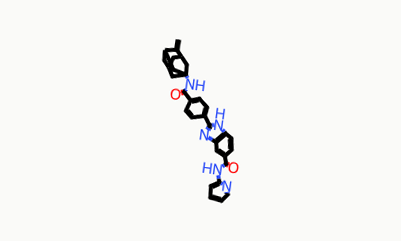 C=C1C2CC3CC1CC(NC(=O)c1ccc(-c4nc5cc(C(=O)Nc6ccccn6)ccc5[nH]4)cc1)(C3)C2